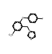 O=[N+]([O-])c1ccc(Oc2ccc(F)cc2)c(Cn2ccnc2)c1